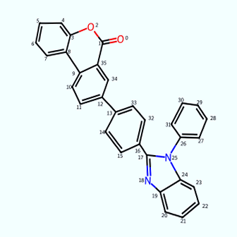 O=c1oc2ccccc2c2ccc(-c3ccc(-c4nc5ccccc5n4-c4ccccc4)cc3)cc12